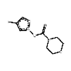 O=C(On1cc(I)cn1)N1CCOCC1